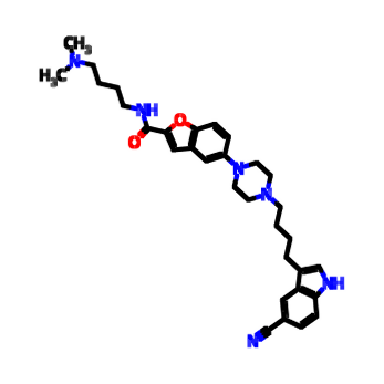 CN(C)CCCCNC(=O)c1cc2cc(N3CCN(CCCCc4c[nH]c5ccc(C#N)cc45)CC3)ccc2o1